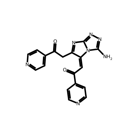 Nc1nnc2nc(CC(=O)c3ccncc3)/c(=C\C(=O)c3ccncc3)n12